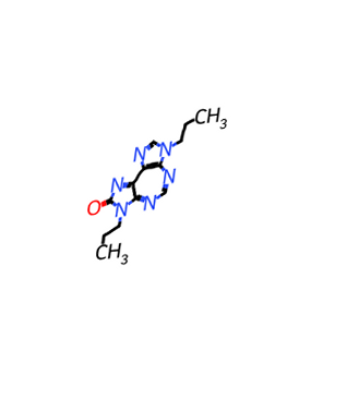 CCCn1c2ncnc3c(ncn3CCC)c-2nc1=O